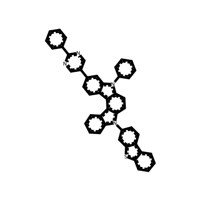 c1ccc(-c2ncc(-c3ccc4c5c6c7ccccc7n(-c7ccc8c(c7)sc7ccccc78)c6ccc5n(-c5ccccc5)c4c3)cn2)cc1